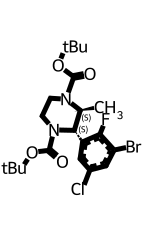 C[C@H]1[C@H](c2cc(Cl)cc(Br)c2F)N(C(=O)OC(C)(C)C)CCN1C(=O)OC(C)(C)C